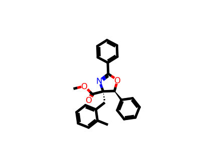 COC(=O)[C@@]1(Cc2ccccc2C)N=C(c2ccccc2)O[C@H]1c1ccccc1